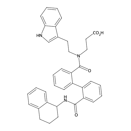 O=C(O)CCN(CCc1c[nH]c2ccccc12)C(=O)c1ccccc1-c1ccccc1C(=O)NC1CCCc2ccccc21